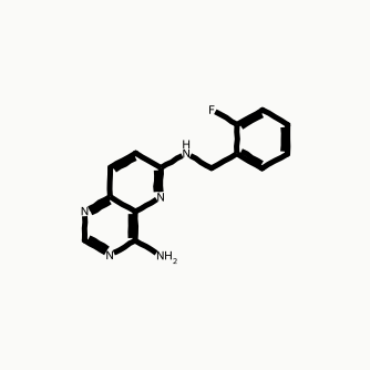 Nc1ncnc2ccc(NCc3ccccc3F)nc12